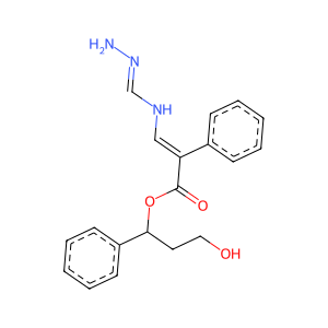 NN=CNC=C(C(=O)OC(CCO)c1ccccc1)c1ccccc1